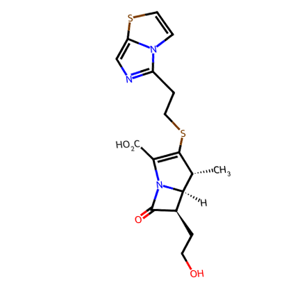 C[C@H]1C(SCCc2ncc3sccn23)=C(C(=O)O)N2C(=O)[C@H](CCO)[C@H]12